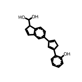 Oc1ccccc1C1=CC(c2ccc3c(c2)C=CC3C(O)O)=CC1